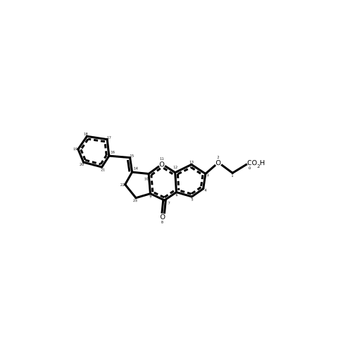 O=C(O)COc1ccc2c(=O)c3c(oc2c1)C(=Cc1ccccc1)CC3